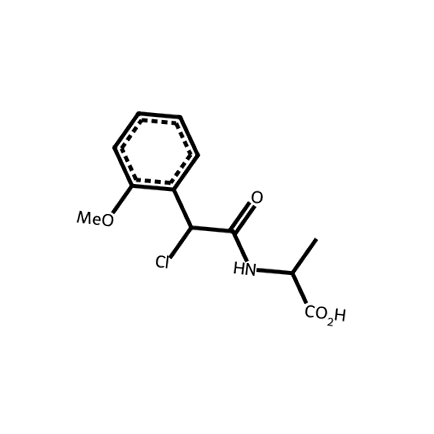 COc1ccccc1C(Cl)C(=O)NC(C)C(=O)O